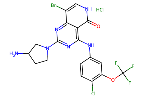 Cl.NC1CCN(c2nc(Nc3ccc(Cl)c(OC(F)(F)F)c3)c3c(=O)[nH]cc(Br)c3n2)C1